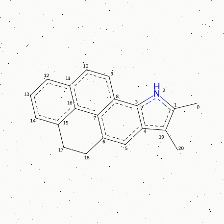 Cc1[nH]c2c(cc3c4c2ccc2cccc(c24)CC3)c1C